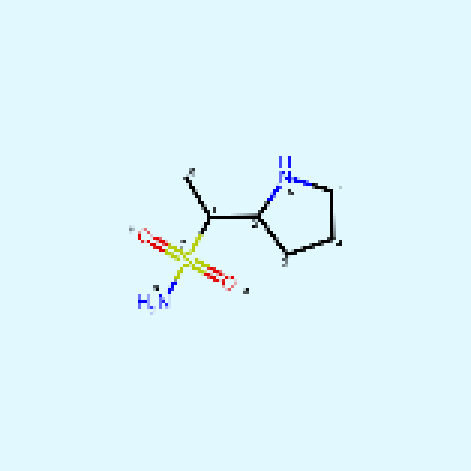 CC(C1CCCN1)S(N)(=O)=O